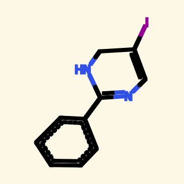 IC1=CN=C(c2ccccc2)NC1